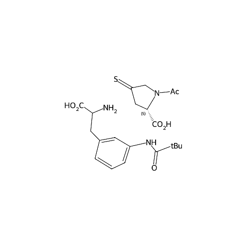 CC(=O)N1CC(=S)C[C@H]1C(=O)O.CC(C)(C)C(=O)Nc1cccc(CC(N)C(=O)O)c1